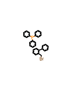 BrCc1ccccc1-c1ccccc1.c1ccc(P(c2ccccc2)c2ccccc2)cc1